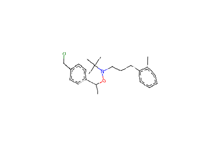 Cc1ccccc1CCCN(OC(C)c1ccc(CCl)cc1)C(C)(C)C